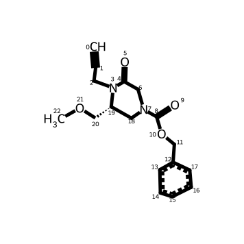 C#CCN1C(=O)CN(C(=O)OCc2ccccc2)C[C@@H]1COC